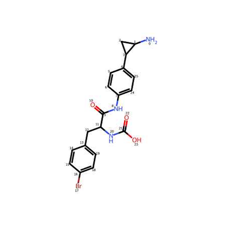 NC1CC1c1ccc(NC(=O)C(Cc2ccc(Br)cc2)NC(=O)O)cc1